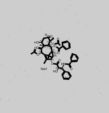 CC(=O)O[C@H]1C(=O)[C@@]2(C)[C@H]([C@H](OC(=O)c3ccccc3)[C@]3(O)C[C@H](OC(=O)[C@H](O)[C@@H](NC(=O)c4ccccc4)c4ccccc4)C(C)=C1C3(C)C)[C@]1(OC(C)=O)CO[C@@H]1C[C@@H]2O.[NaH]